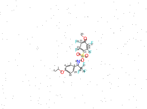 CCOc1ccc(/C(=N/OS(=O)(=O)c2c(F)c(F)c(OC)c(F)c2F)C(F)(F)F)cc1